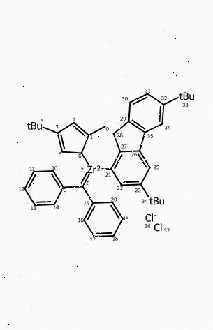 CC1=CC(C(C)(C)C)=C[CH]1[Zr+2](=[C](c1ccccc1)c1ccccc1)[c]1cc(C(C)(C)C)cc2c1Cc1ccc(C(C)(C)C)cc1-2.[Cl-].[Cl-]